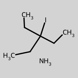 CCC(I)(CC)CC.N